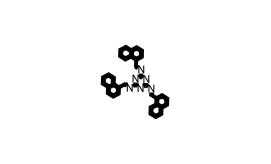 C(=Nc1nc(N=Cc2cccc3ccccc23)nc(N=Cc2cccc3ccccc23)n1)c1cccc2ccccc12